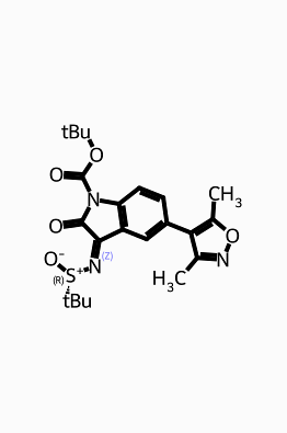 Cc1noc(C)c1-c1ccc2c(c1)/C(=N/[S@@+]([O-])C(C)(C)C)C(=O)N2C(=O)OC(C)(C)C